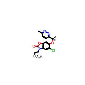 Cc1ccc([C@@H](C)Oc2cc3oc(=O)n(CCC(=O)O)c3cc2Cl)nn1